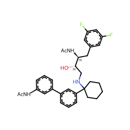 CC(=O)Nc1cccc(-c2cccc(C3(NC[C@H](O)[C@H](Cc4cc(F)cc(F)c4)NC(C)=O)CCCCC3)c2)c1